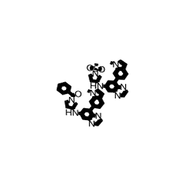 Cn1ccc2ccc(-c3cc(NC4CCN(C(=O)c5ccccc5)C4)cc4nccnc34)cc21.Cn1ccc2ccc(-c3cc(NC4CCN(S(C)(=O)=O)C4)cc4nccnc34)cc21